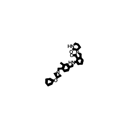 Cc1cc(CNc2cccc3c2C(=O)N(C2CCCNC2=O)C3)ccc1CN1CC(Oc2ccccc2)C1